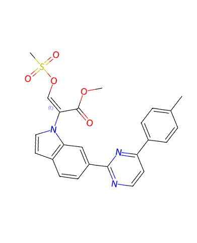 COC(=O)/C(=C\OS(C)(=O)=O)n1ccc2ccc(-c3nccc(-c4ccc(C)cc4)n3)cc21